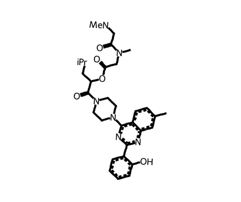 CNCC(=O)N(C)CC(=O)OC(CC(C)C)C(=O)N1CCN(c2nc(-c3ccccc3O)nc3cc(C)ccc23)CC1